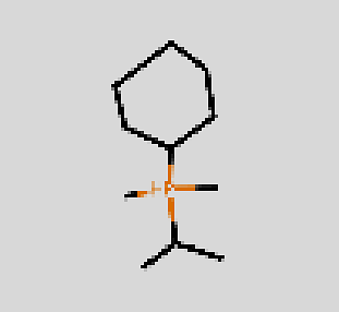 CC(C)[PH](C)(C)C1CCCCC1